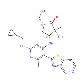 Cc1nc(NCC2CC2)nc(N[C@@H]2C[C@H](CO)[C@@H](O)C2(C)O)c1-c1nc2cnccc2s1